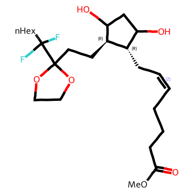 CCCCCCC(F)(F)C1(CC[C@H]2C(O)CC(O)[C@@H]2C/C=C\CCCC(=O)OC)OCCO1